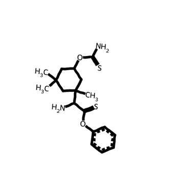 CC1(C)CC(OC(N)=S)CC(C)(C(N)C(=S)Oc2ccccc2)C1